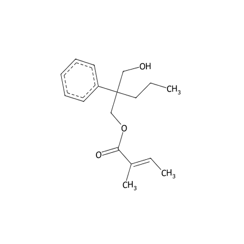 CC=C(C)C(=O)OCC(CO)(CCC)c1ccccc1